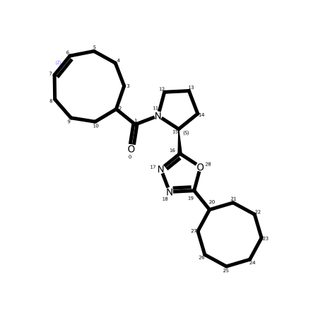 O=C(C1CCC/C=C\CCC1)N1CCC[C@H]1c1nnc(C2CCCCCCC2)o1